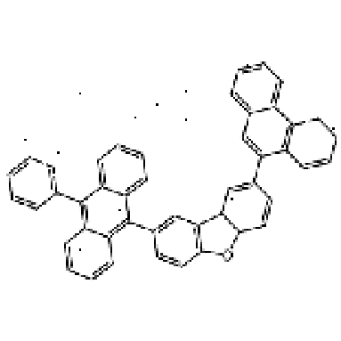 C1=Cc2c(C3=CC4c5cc(-c6c7ccccc7c(-c7ccccc7)c7ccccc67)ccc5OC4C=C3)cc3ccccc3c2CC1